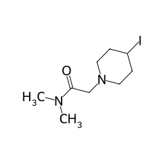 CN(C)C(=O)CN1CCC(I)CC1